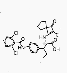 CCC(c1ccc(NC(=O)c2c(Cl)cncc2Cl)cc1)[C@H](NC1=C(Cl)C(=O)C12CCCC2)C(=O)O